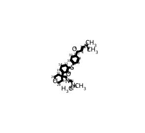 CN(C)C=CC(=O)c1ccc(Sc2cccc(C3(C(=O)N=CN(C)C)CCOCC3)c2)cc1